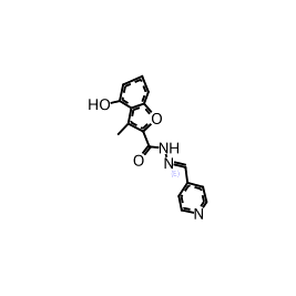 Cc1c(C(=O)N/N=C/c2ccncc2)oc2cccc(O)c12